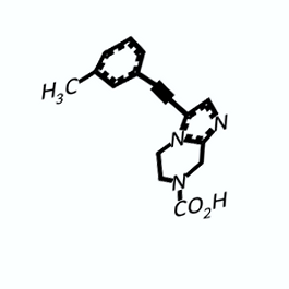 Cc1cccc(C#Cc2cnc3n2CCN(C(=O)O)C3)c1